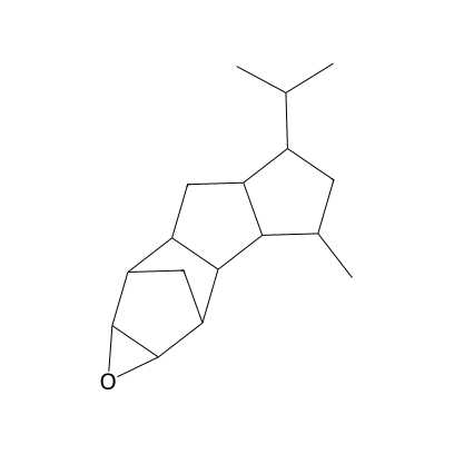 CC(C)C1CC(C)C2C1CC1C3CC(C4OC34)C12